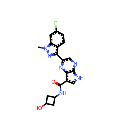 Cn1nc(-c2cnc3[nH]cc(C(=O)NC4CC(O)C4)c3n2)c2ccc(F)cc21